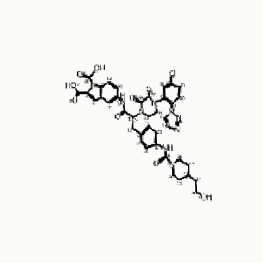 O=C(O)c1cc2cc(NC(=O)[C@H](Cc3ccc(NC(=O)N4CCC(CCO)CC4)cc3)N3CCN(c4cc(Cl)ccc4-n4cnnn4)C(=O)C3=O)ccc2n1C(=O)O